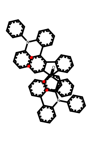 O=S12(c3ccccc3-c3c(-c4ccccc4N(c4ccccc4)c4ccccc4)cccc31)c1ccccc1-c1c(-c3ccccc3N(c3ccccc3)c3ccccc3)cccc12